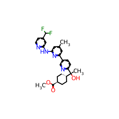 COC(=O)[C@H]1CC[C@H]([C@@](C)(O)c2ccc(-c3cc(C)cc(Nc4cc(C(F)F)ccn4)n3)cn2)CC1